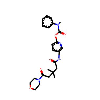 CN(C(=O)Oc1ccc(NC(=O)CC(C)(C)CC(=O)N2CCOCC2)cn1)c1ccccc1